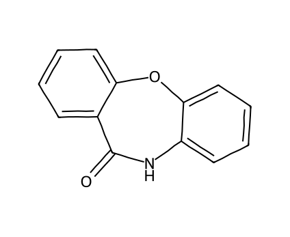 O=C1Nc2ccccc2Oc2ccccc21